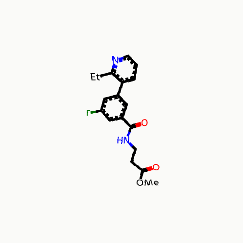 CCc1ncccc1-c1cc(F)cc(C(=O)NCCC(=O)OC)c1